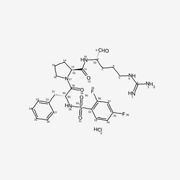 Cl.N=C(N)NCCC[C@@H](C=O)NC(=O)[C@@H]1CCCN1C(=O)[C@@H](Cc1ccccc1)NS(=O)(=O)c1ccc(F)cc1F